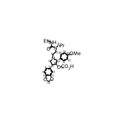 CCCN(CCN1C[C@H](c2ccc3c(c2)OCO3)[C@H](OC(=O)O)[C@H]1c1ccc(OC)cc1)C(=O)NCC